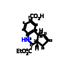 CCOC(=O)[C@@H]1Nc2ccc(C(=O)O)cc2[C@@H]2C=CC[C@H]12